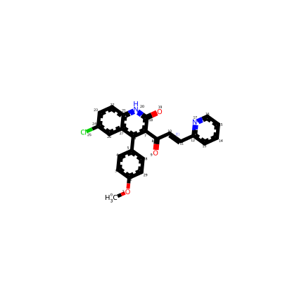 COc1ccc(-c2c(C(=O)/C=C/c3ccccn3)c(=O)[nH]c3ccc(Cl)cc23)cc1